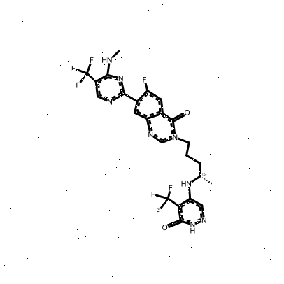 CNc1nc(-c2cc3ncn(CCC[C@H](C)Nc4cn[nH]c(=O)c4C(F)(F)F)c(=O)c3cc2F)ncc1C(F)(F)F